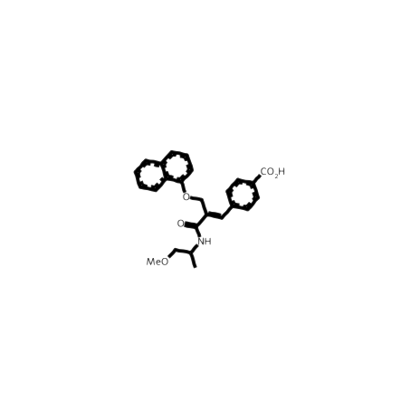 COCC(C)NC(=O)/C(=C/c1ccc(C(=O)O)cc1)COc1cccc2ccccc12